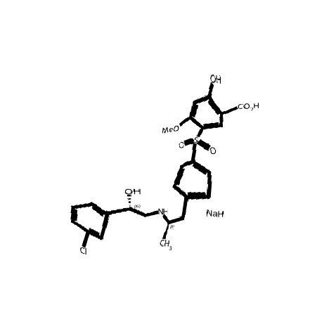 COc1cc(O)c(C(=O)O)cc1S(=O)(=O)c1ccc(C[C@@H](C)NC[C@@H](O)c2cccc(Cl)c2)cc1.[NaH]